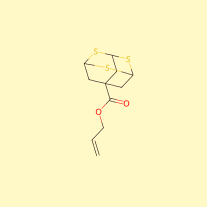 C=CCOC(=O)C12CC3SC(C1)SC(C2)S3